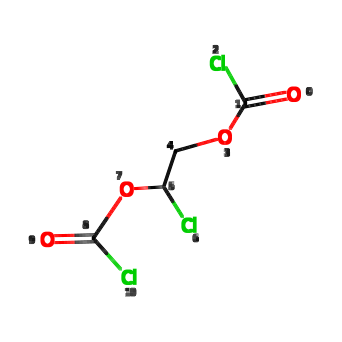 O=C(Cl)OCC(Cl)OC(=O)Cl